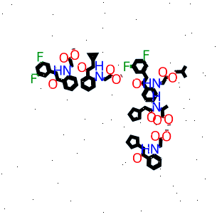 CC(C)COC(=O)CNc1ccccc1C(=O)Cc1cc(F)cc(F)c1.COC(=O)C(C)NC(=O)CC1CCCC1.COC(=O)CNc1ccccc1C(=O)CC1CC1.COC(=O)CNc1ccccc1C(=O)CC1CCCC1.COC(=O)CNc1ccccc1C(=O)Cc1cc(F)cc(F)c1